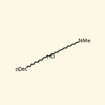 CCCCCCCCCCCCCCCCCCCCCCCCCCCCCCCCCCCCNC.Cl